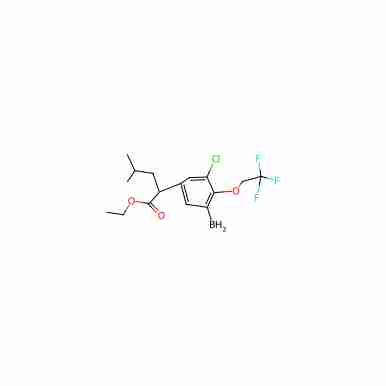 Bc1cc(C(CC(C)C)C(=O)OCC)cc(Cl)c1OCC(F)(F)F